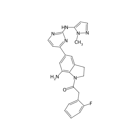 Cn1nccc1Nc1nccc(-c2cc(N)c3c(c2)CCN3C(=O)Cc2ccccc2F)n1